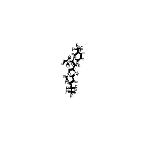 CCS(=O)(=O)c1c(-c2cn3cnc(C(F)(F)C(F)(F)F)cc3n2)nc2ccc(C(F)(F)F)cn12